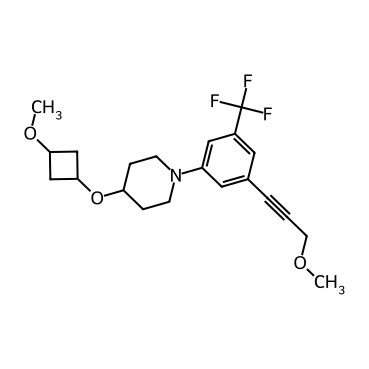 COCC#Cc1cc(N2CCC(OC3CC(OC)C3)CC2)cc(C(F)(F)F)c1